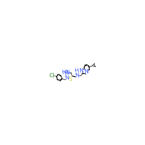 N=C/C(=C\NCc1cn2cc(C3CC3)ccc2n1)SNCc1ccc(Cl)cc1